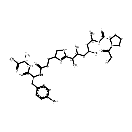 COc1ccc(C[C@H](NC(=O)CCC2CSC(C(C)C(O)C[C@H](C)CC(OC(=O)[C@@H]3CCCN3C(=O)CC(C)C)C(C)(C)C)=N2)C(=O)N[C@@H](C)C(N)=O)cc1